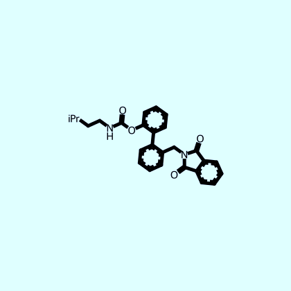 CC(C)CCNC(=O)Oc1ccccc1-c1ccccc1CN1C(=O)c2ccccc2C1=O